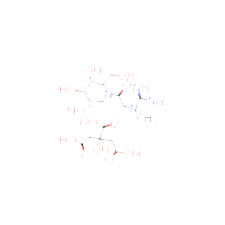 CN(CC(=O)N1C[C@H](O)[C@@H](O)[C@@H](O)C1CO)C(=N)N.O=C(O)CC(O)(CC(=O)O)C(=O)O